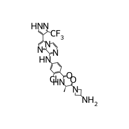 C[C@@H](NC(=O)c1ccc(Nc2nccn3c(-c4c[nH]nc4C(F)(F)F)cnc23)cc1Cl)C(=O)N1CC(N)C1